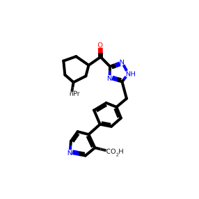 CCCC1CCCC(C(=O)c2n[nH]c(Cc3ccc(-c4ccncc4C(=O)O)cc3)n2)C1